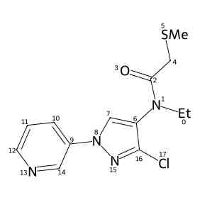 CCN(C(=O)CSC)c1cn(-c2cccnc2)nc1Cl